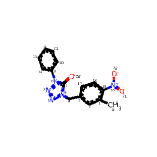 Cc1cc(Cn2nnn(-c3ccccc3)c2=O)ccc1[N+](=O)[O-]